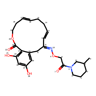 CC1CCCN(C(=O)CO/N=C2/C=C/CC/C=C/CCOC(=O)c3c(O)cc(O)cc3C2)C1